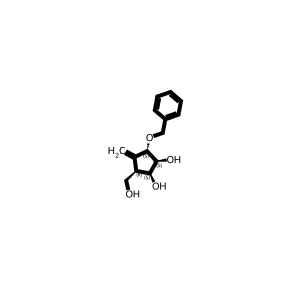 C=C1[C@H](CO)[C@H](O)[C@H](O)[C@H]1OCc1ccccc1